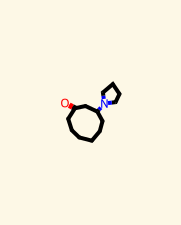 O=C1CCCCCCC(N2CCCC2)C1